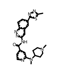 Cc1nnc(-c2ccc3nnc(NC(=O)c4ccnc(N(C)C5CCN(C)CC5)c4)cc3c2)s1